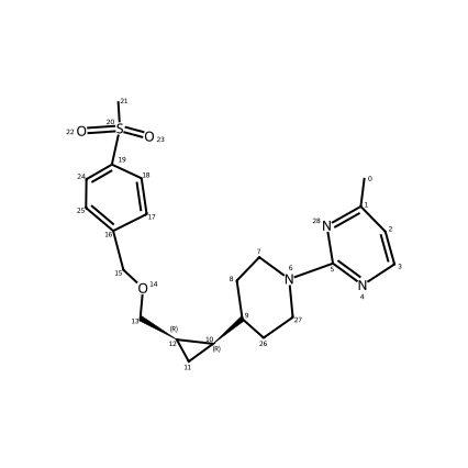 Cc1ccnc(N2CCC([C@H]3C[C@H]3COCc3ccc(S(C)(=O)=O)cc3)CC2)n1